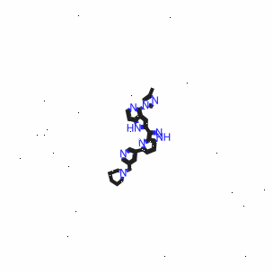 Cc1cn(-c2nccc3[nH]c(-c4n[nH]c5ccc(-c6cncc(CN7CCCCC7)c6)nc45)cc23)cn1